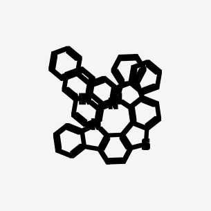 C1=C(c2ccccc2)NC(n2c3ccccc3c3ccc4sc5ccc6c7ccccc7n(-c7cccc8ccccc78)c6c5c4c32)N=C1c1ccccc1